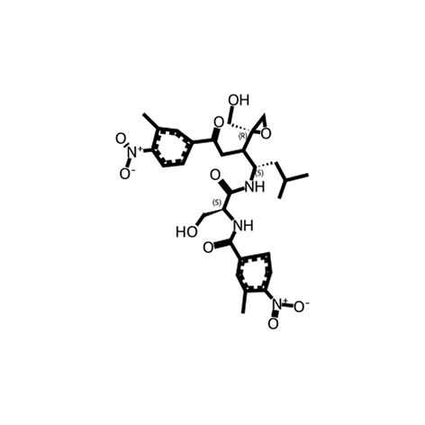 Cc1cc(C(=O)CC([C@H](CC(C)C)NC(=O)[C@H](CO)NC(=O)c2ccc([N+](=O)[O-])c(C)c2)[C@@]2(CO)CO2)ccc1[N+](=O)[O-]